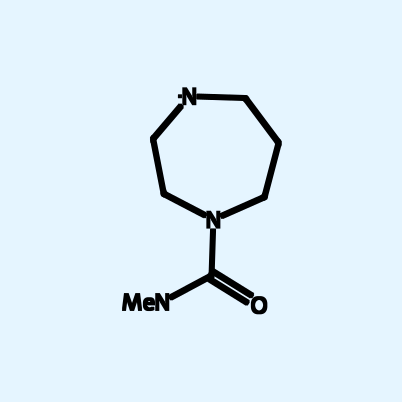 CNC(=O)N1CCC[N]CC1